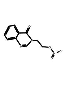 O=c1c2ccccc2ncn1CCO[N+](=O)[O-]